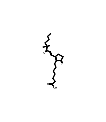 CCCCC(C)(C)C(=O)/C=C/C1=C(CCCCCCC(=O)O)C(=O)CC1